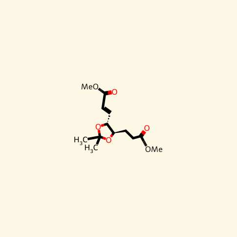 COC(=O)/C=C/[C@H]1OC(C)(C)O[C@@H]1CCC(=O)OC